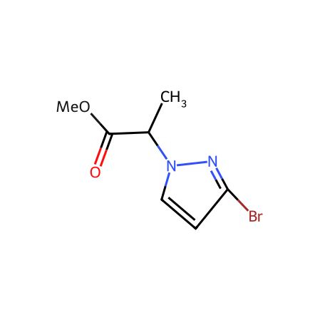 COC(=O)C(C)n1ccc(Br)n1